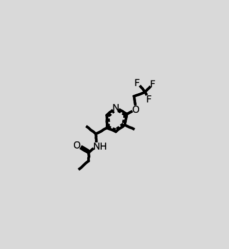 CCC(=O)NC(C)c1cnc(OCC(F)(F)F)c(C)c1